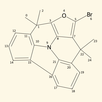 CC1(C)c2oc(Br)c3c2-n2c4c1cccc4c1cccc(c12)C3(C)C